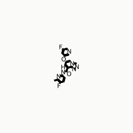 Cc1nc(NC(=O)c2cc(Oc3cncc(F)c3)cn3cnnc23)ccc1F